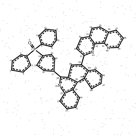 O=P(c1ccccc1)(c1ccccc1)c1ccc(-c2nc3ccccc3c3c2cc(-c2ccc4ccc5cccnc5c4n2)c2ccccc23)cc1